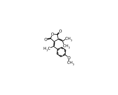 COc1ccc(/C(C)=C2/C(=O)OC(=O)C2=C(C)C)cc1